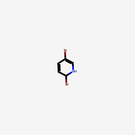 Br[C]1C=CC(Br)=CN1